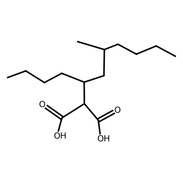 CCCCC(C)CC(CCCC)C(C(=O)O)C(=O)O